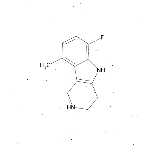 Cc1ccc(F)c2[nH]c3c(c12)CNCC3